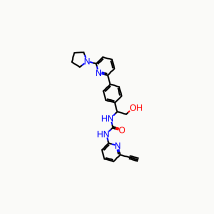 C#Cc1cccc(NC(=O)NC(CO)c2ccc(-c3cccc(N4CCCC4)n3)cc2)n1